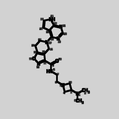 CN(C)C1CN(CCNC(=O)c2noc3c2CN(c2ncnc4[nH]ccc24)CC3)C1